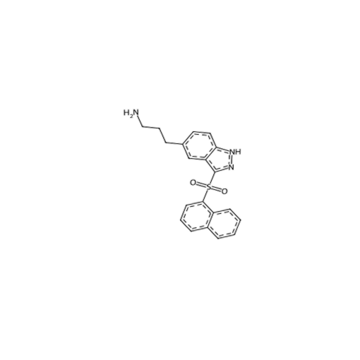 NCCCc1ccc2[nH]nc(S(=O)(=O)c3cccc4ccccc34)c2c1